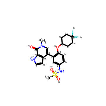 Cn1cc(-c2cc(NS(C)(=O)=O)ccc2OC2CCC(F)(F)CC2)c2cc[nH]c2c1=O